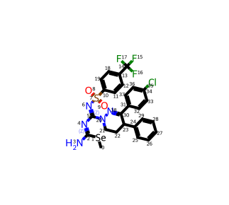 C[Se]/C(N)=N\C(=N\S(=O)(=O)c1ccc(C(F)(F)F)cc1)N1CCC(c2ccccc2)C(c2ccc(Cl)cc2)=N1